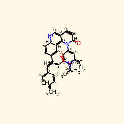 C=C\C=C/C(/C=C/c1ccc2ncc3c#cc(=O)n(C(/C=C\C(C)C)=C/C(=C)N(CC)C(=O)C=C)c3c2c1)=C\C